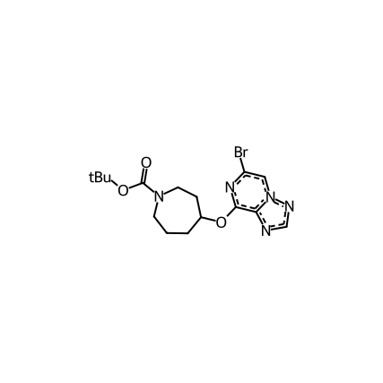 CC(C)(C)OC(=O)N1CCCC(Oc2nc(Br)cn3ncnc23)CC1